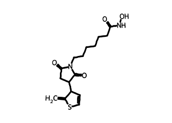 C=C1SC=CC1C1CC(=O)N(CCCCCCC(=O)NO)C1=O